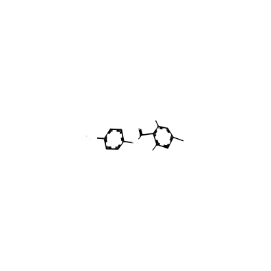 Cc1cc(F)c(C(=O)Oc2ccc(C#N)cc2)c(F)c1